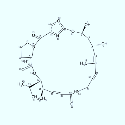 CC1=C\[C@@H](O)C[C@H](O)Cc2nc(co2)C(=O)N2CCC[C@@H]2C(=O)O[C@H](C(C)C)[C@H](C)/C=C/C(=O)NC\C=C\1